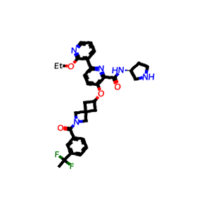 CCOc1ncccc1-c1ccc(OC2CC3(C2)CN(C(=O)c2cccc(C(C)(F)F)c2)C3)c(C(=O)N[C@@H]2CCNC2)n1